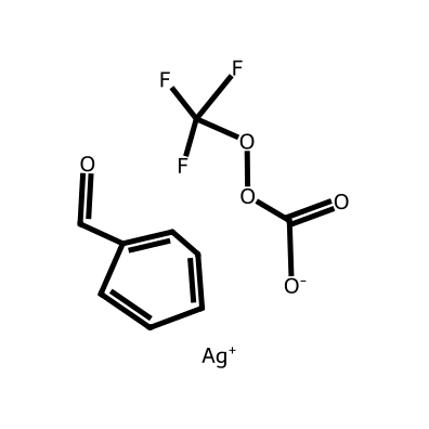 O=C([O-])OOC(F)(F)F.O=Cc1ccccc1.[Ag+]